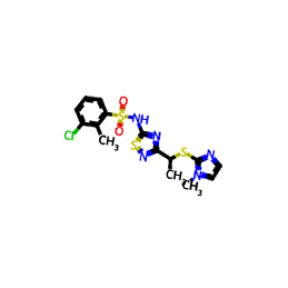 Cc1c(Cl)cccc1S(=O)(=O)Nc1nc(C(C)Sc2nccn2C)ns1